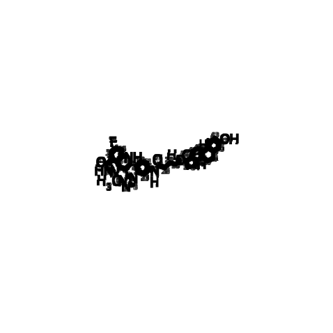 Cn1ncnc1[C@H]1c2n[nH]c(=O)c3cc(F)cc(c23)N[C@@H]1c1ccc(NC(=O)CCCO[C@H]2CC[C@H]3[C@@H]4CCc5cc(O)ccc5[C@H]4CC[C@]23C)cc1